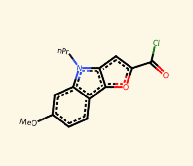 CCCn1c2cc(OC)ccc2c2oc(C(=O)Cl)cc21